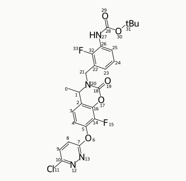 CC1c2ccc(Oc3ccc(Cl)nn3)c(F)c2OC(=O)N1Cc1cccc(NC(=O)OC(C)(C)C)c1F